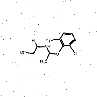 CCC(CO)NC(C)Oc1c(C)cccc1Cl